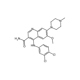 COc1cc2c(Nc3ccc(Cl)c(Cl)c3)c(C(N)=O)cnc2cc1N1CCN(C)CC1